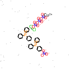 ClCCl.O=[N+]([O-])[O-].O=[N+]([O-])[O-].O=[N+]([O-])[O-].O=[N+]([O-])[O-].[Cu+2].c1ccc([PH+](c2ccccc2)c2ccccc2)cc1.c1ccc([PH+](c2ccccc2)c2ccccc2)cc1